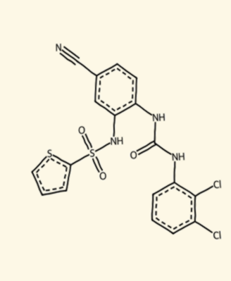 N#Cc1ccc(NC(=O)Nc2cccc(Cl)c2Cl)c(NS(=O)(=O)c2cccs2)c1